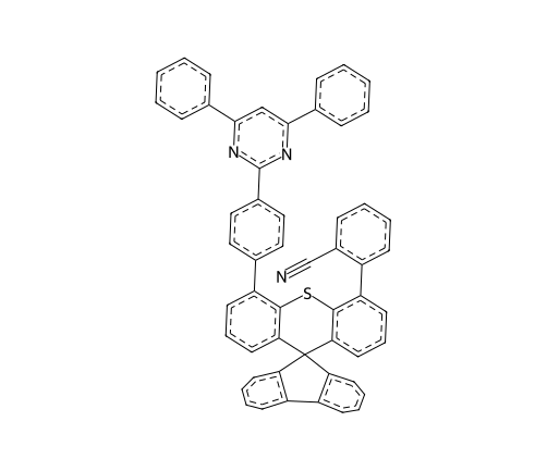 N#Cc1ccccc1-c1cccc2c1Sc1c(-c3ccc(-c4nc(-c5ccccc5)cc(-c5ccccc5)n4)cc3)cccc1C21c2ccccc2-c2ccccc21